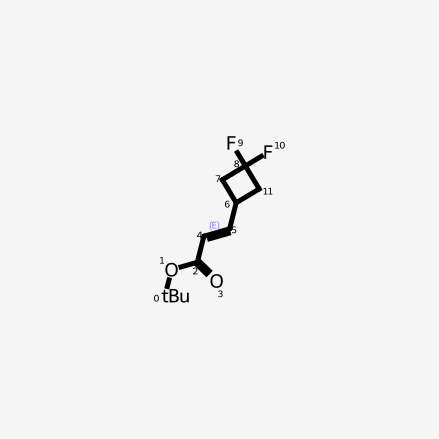 CC(C)(C)OC(=O)/C=C/C1CC(F)(F)C1